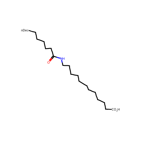 CCCCCCCCCCCCCCCC(=O)NCCCCCCCCCCCC(=O)O